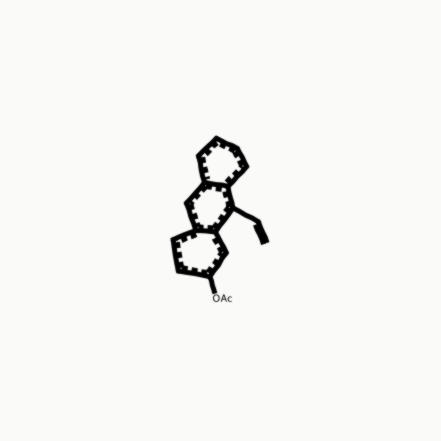 C=Cc1c2ccccc2cc2ccc(OC(C)=O)cc12